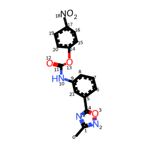 Cc1noc(-c2cccc(NC(=O)Oc3ccc([N+](=O)[O-])cc3)c2)n1